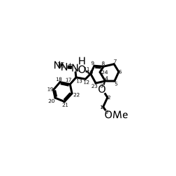 COCCO[C@@]12CCCC(=C[C@@](O)(CC(N=[N+]=[N-])c3ccccc3)C1)C2